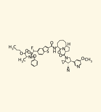 CCCOC(=O)[C@H](C)NP(=O)(Oc1ccccc1)[C@@H](F)c1ccc2sc(C(=O)N[C@H]3CCCC[C@H]4CC[C@@H](C(=O)N5C[C@@H](c6cncc(OC)c6)[C@H](C#N)C56CC6)N4C3=O)cc2c1